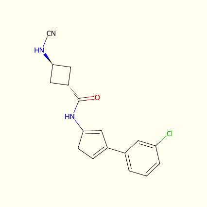 N#CN[C@H]1C[C@H](C(=O)NC2=CC(c3cccc(Cl)c3)=CC2)C1